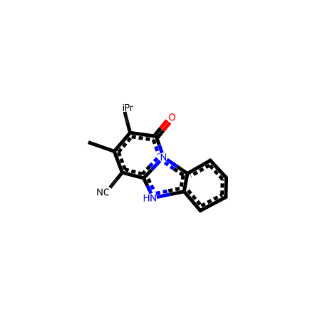 Cc1c(C(C)C)c(=O)n2c([nH]c3ccccc32)c1C#N